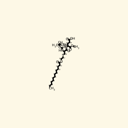 CCCCCCCCCCCCCC(=O)OCCSCC(NC(=O)OC(C)(C)C)C(=O)NC(CCC(=O)O)C(=O)OC